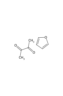 CC(=O)C(C)=O.c1ccoc1